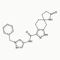 O=C1CCC2(CCc3c(C(=O)Nc4cnn(Cc5ccccc5)c4)n[nH]c3C2)N1